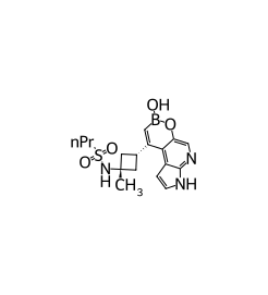 CCCS(=O)(=O)N[C@]1(C)C[C@H](C2=CB(O)Oc3cnc4[nH]ccc4c32)C1